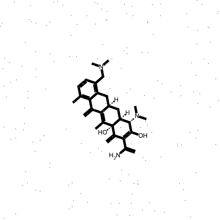 C=C(N)C1=C(O)[C@@H](N(C)C)[C@@H]2C[C@@H]3Cc4c(CN(C)C)ccc(C)c4C(=C)C3=C(C)[C@]2(O)C1=C